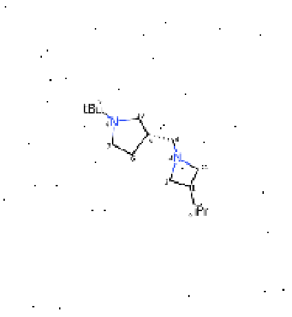 CC(C)C1CN(C[C@@H]2CCN(C(C)(C)C)C2)C1